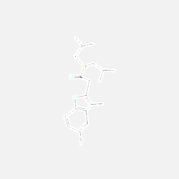 Cc1c(CC(=O)N(CC(C)C)CC(C)C)oc2ccc(F)cc12